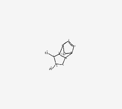 CCC1C2C3C=CC(O3)C2CN1C(C)C